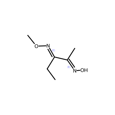 CCC(=N\OC)/C(C)=N/O